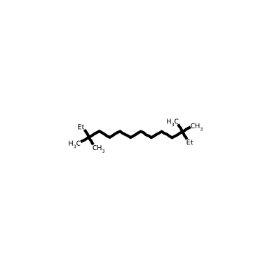 CCC(C)(C)CCCCCCCCC(C)(C)CC